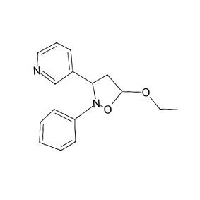 CCOC1CC(c2cccnc2)N(c2ccccc2)O1